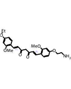 CCOc1ccc(/C=C/C(=O)CC(=O)/C=C/c2ccc(OCCN)cc2OC)c(OC)c1